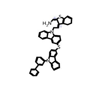 N/C=c1/sc2c(/c1=C/Cn1c3ccccc3c3cc(Sc4ccc5c(c4)c4ccccc4n5-c4cccc(-c5ccccc5)c4)ccc31)CCC=C2